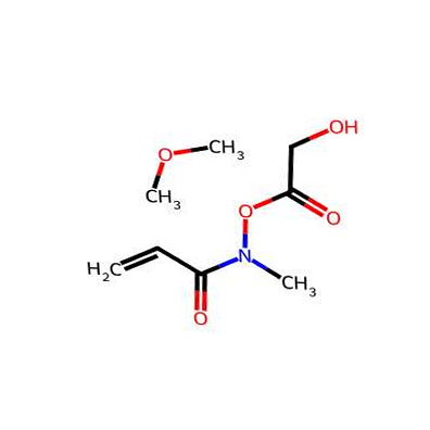 C=CC(=O)N(C)OC(=O)CO.COC